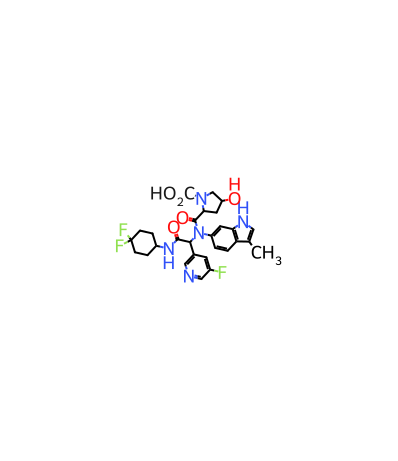 Cc1c[nH]c2cc(N(C(=O)C3CC(O)CN3C(=O)O)C(C(=O)NC3CCC(F)(F)CC3)c3cncc(F)c3)ccc12